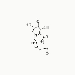 O=C1c2c(O)c(=O)c(O)cn2C[C@@H]2OCC3(COC3)CN12